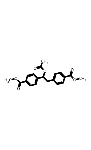 COC(=O)c1ccc(CC(OC(C)=O)c2ccc(C(=O)OC)cc2)cc1